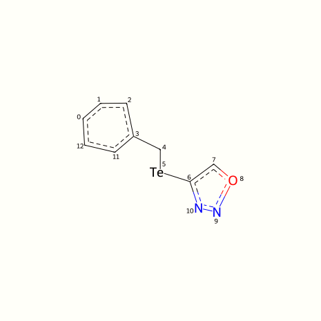 c1ccc(C[Te]c2conn2)cc1